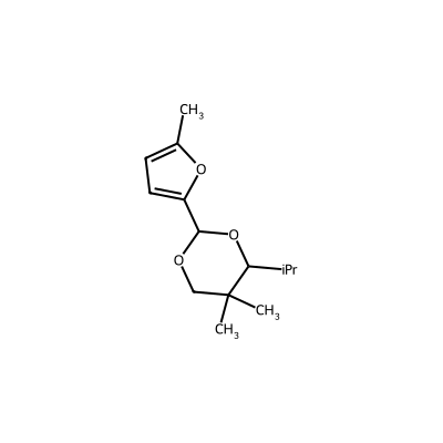 Cc1ccc(C2OCC(C)(C)C(C(C)C)O2)o1